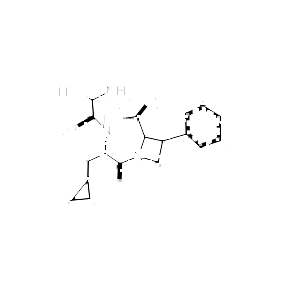 CC(N)C(=O)NC(CC1CC1)C(=O)N1CC(c2ccccc2)C1C(=O)O